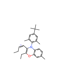 CC/C=C\C1=C(CC)Oc2cc(C)ccc2N1c1c(C)cc(C(C)(C)C)cc1C